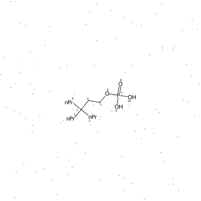 CCCC(CCC)(CCC)CCOP(=O)(O)O